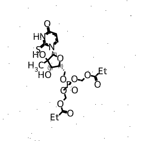 CCC(=O)OCOP(=O)(OCOC(=O)CC)OC[C@H]1O[C@@H](n2ccc(=O)[nH]c2=S)C(C)(O)[C@H]1O